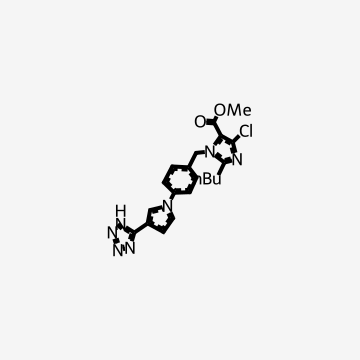 CCCCc1nc(Cl)c(C(=O)OC)n1Cc1ccc(-n2ccc(-c3nnn[nH]3)c2)cc1